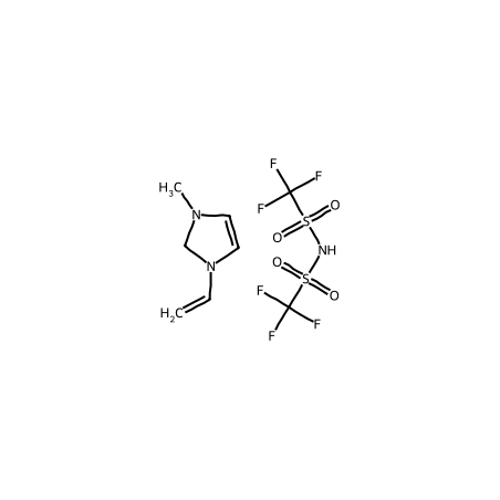 C=CN1C=CN(C)C1.O=S(=O)(NS(=O)(=O)C(F)(F)F)C(F)(F)F